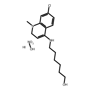 CN1CC=C(NCCCCCCO)c2ccc(Cl)cc21.I.O=[N+]([O-])O